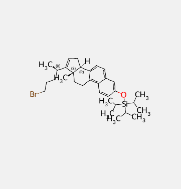 CC(C)[Si](Oc1ccc2c3c(ccc2c1)[C@@H]1CC=C([C@H](C)CCCBr)[C@@]1(C)CC3)(C(C)C)C(C)C